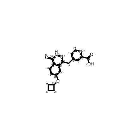 O=C(O)c1cc(Cc2n[nH]c(=O)c3ccc(OC4CCC4)cc23)ccn1